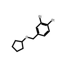 CCc1ccc(COC2CCCC2)cc1CC